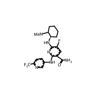 CNC1CCCC[C@H]1Nc1nc(Nc2ccc(C(F)(F)F)nc2)c(C(N)=O)cc1F